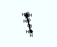 CC1CN(CCCCCC(=O)OCCCCCNC(=O)CCCC[C@H]2SC[C@@H]3NC(=O)N[C@@H]32)NN1